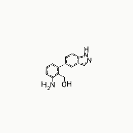 Nc1cccc(-c2ccc3[nH]ncc3c2)c1CO